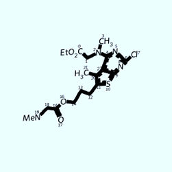 CCOC(=O)CN(C)c1nc(Cl)nc2sc(CCCOC(=O)CNC)c(C)c12